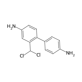 Nc1ccc(-c2ccc(N)cc2C(Cl)Cl)cc1